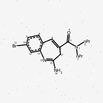 [CH2]CCN(CCC)C(=O)C1=Cc2ccc(Br)cc2N=C(N)C1